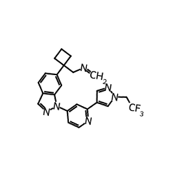 C=NCC1(c2ccc3cnn(-c4ccnc(-c5cnn(CC(F)(F)F)c5)c4)c3c2)CCC1